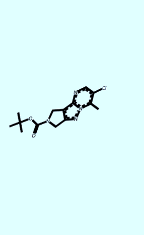 Cc1c(Cl)cnc2c3c(nn12)CN(C(=O)OC(C)(C)C)C3